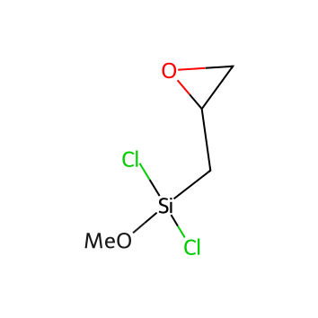 CO[Si](Cl)(Cl)CC1CO1